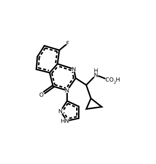 O=C(O)NC(c1nc2c(F)cccc2c(=O)n1-c1cc[nH]n1)C1CC1